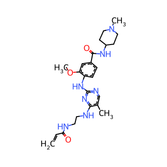 C=CC(=O)NCCNc1nc(Nc2ccc(C(=O)NC3CCN(C)CC3)cc2OC)ncc1C